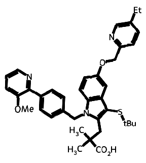 CCc1ccc(COc2ccc3c(c2)c(SC(C)(C)C)c(CC(C)(C)C(=O)O)n3Cc2ccc(-c3ncccc3OC)cc2)nc1